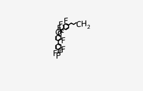 C=CCCc1ccc(C(F)(F)Oc2ccc(-c3ccc(C(F)(F)F)c(F)c3)c(F)c2)c(F)c1F